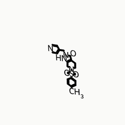 Cc1ccc(S(=O)(=O)N2CCc3c([nH]n(Cc4ccncc4)c3=O)C2)cc1